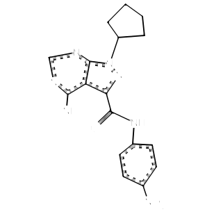 Nc1ncnc2c1c(C(=O)Nc1ccc([N+](=O)[O-])cc1)nn2C1CCCC1